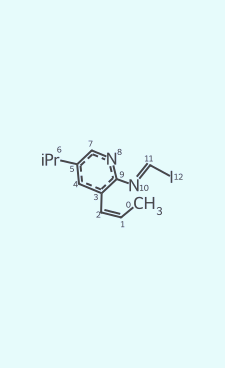 C/C=C\c1cc(C(C)C)cnc1/N=C/I